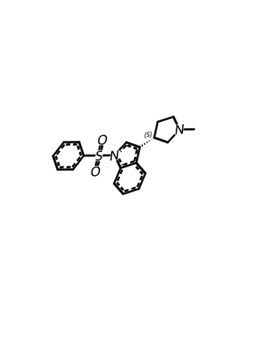 CN1CC[C@@H](c2cn(S(=O)(=O)c3ccccc3)c3ccccc23)C1